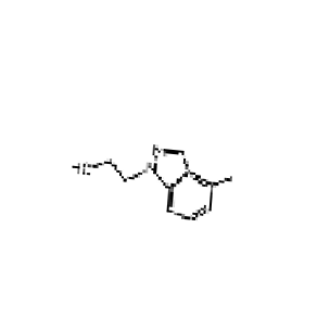 Cc1cccc2c1cnn2CCO